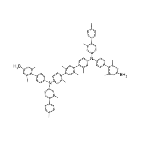 Bc1cc(C)c(-c2ccc(N(c3ccc(-c4ccc(C)cc4)c(C)c3)c3ccc(-c4cc(C)c(-c5ccc(N(c6ccc(-c7c(C)cc(B)cc7C)cc6)c6ccc(-c7ccc(C)cc7)c(C)c6)cc5C)cc4C)c(C)c3)cc2)c(C)c1